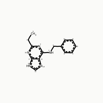 CCc1nc(NCc2ccccc2)c2nc[nH]c2n1